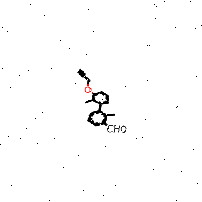 C#CCOc1cccc(-c2cccc(C=O)c2C)c1C